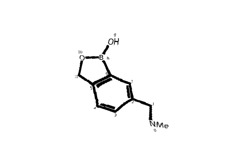 CNCc1ccc2c(c1)B(O)OC2